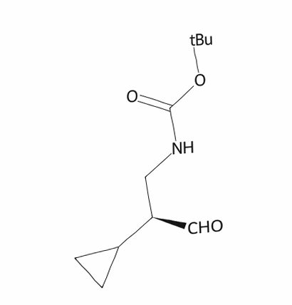 CC(C)(C)OC(=O)NC[C@@H](C=O)C1CC1